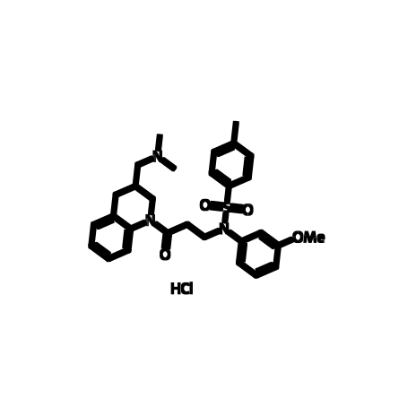 COc1cccc(N(CCC(=O)N2CC(CN(C)C)Cc3ccccc32)S(=O)(=O)c2ccc(C)cc2)c1.Cl